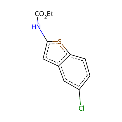 CCOC(=O)Nc1cc2cc(Cl)ccc2s1